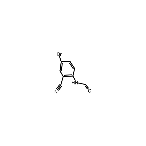 N#Cc1cc(Br)ccc1NC=O